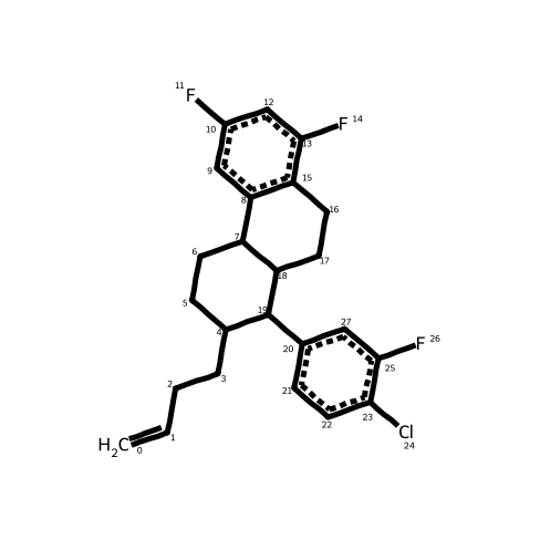 C=CCCC1CCC2c3cc(F)cc(F)c3CCC2C1c1ccc(Cl)c(F)c1